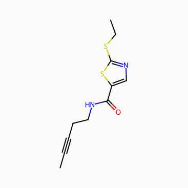 CC#CCCNC(=O)c1cnc(SCC)s1